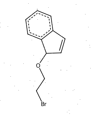 BrCCOC1C=Cc2c[c]ccc21